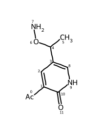 CC(=O)c1cc(C(C)ON)c[nH]c1=O